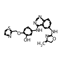 C=C1COC(Nc2ccc3ncnc(Nc4ccc(OCc5nccs5)c(O)c4)c3c2)=N1